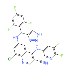 N#Cc1cnc2c(Cl)cc(NC(c3c[nH]nn3)c3c(F)cc(F)cc3F)cc2c1Nc1cnc(F)c(F)c1